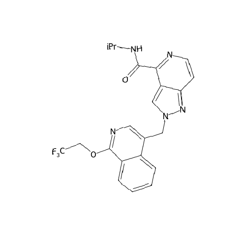 CC(C)NC(=O)c1nccc2nn(Cc3cnc(OCC(F)(F)F)c4ccccc34)cc12